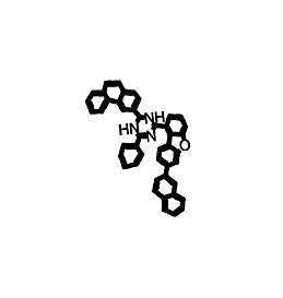 c1ccc(C2=NC(c3cccc4oc5cc(-c6ccc7ccccc7c6)ccc5c34)NC(c3ccc4ccc5ccccc5c4c3)N2)cc1